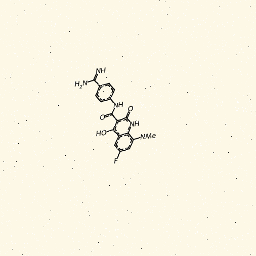 CNc1cc(F)cc2c(O)c(C(=O)Nc3ccc(C(=N)N)cc3)c(=O)[nH]c12